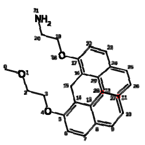 COCCOc1ccc2ccccc2c1Cc1c(OCCN)ccc2ccccc12